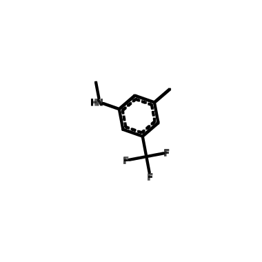 CNc1cc(C)cc(C(F)(F)F)c1